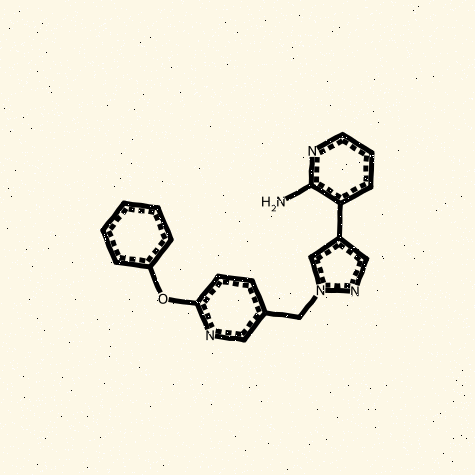 Nc1ncccc1-c1cnn(Cc2ccc(Oc3ccccc3)nc2)c1